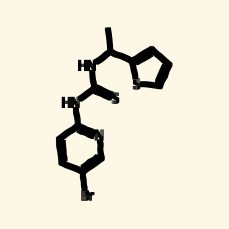 CC(NC(=S)Nc1ccc(Br)cn1)c1cccs1